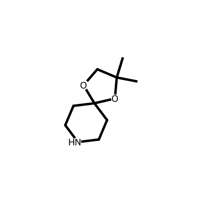 CC1(C)COC2(CCNCC2)O1